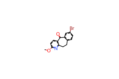 COc1ccc2c(n1)CCc1ccc(Br)cc1C2=O